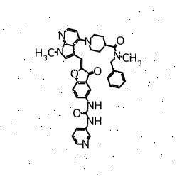 CN(Cc1ccccc1)C(=O)C1CCN(c2ccnc3c2c(C=C2Oc4ccc(NC(=O)Nc5cccnc5)cc4C2=O)cn3C)CC1